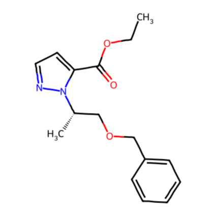 CCOC(=O)c1ccnn1[C@@H](C)COCc1ccccc1